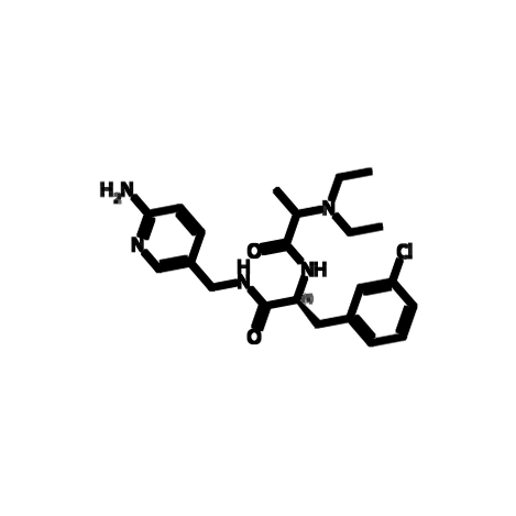 CCN(CC)C(C)C(=O)N[C@@H](Cc1cccc(Cl)c1)C(=O)NCc1ccc(N)nc1